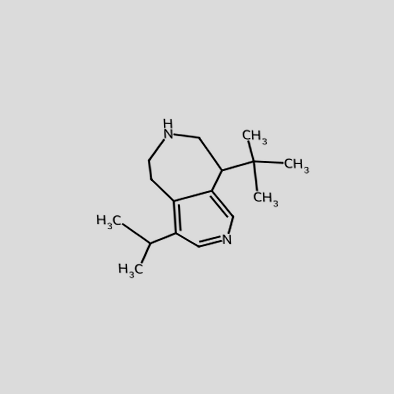 CC(C)c1cncc2c1CCNCC2C(C)(C)C